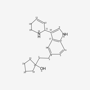 OC1(CCc2ccc3[nH]cc(C4C=CCCN4)c3c2)CCCC1